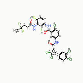 CC(F)(F)CCC(=O)Nc1c(F)ccc(NC(=O)c2cc(NC(=O)C3[C@H](c4ccc(Cl)c(Cl)c4)C3(Cl)Cl)ccc2Cl)c1F